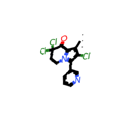 [C]c1c(Cl)c(-c2cccnc2)n2c1C(=O)C(Cl)(Cl)CC2